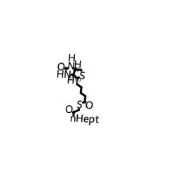 CCCCCCCC(=O)CSC(=O)CCCC[C@@H]1SC[C@@H]2NC(=O)N[C@@H]21